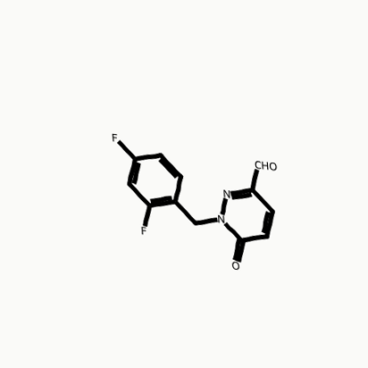 O=Cc1ccc(=O)n(Cc2ccc(F)cc2F)n1